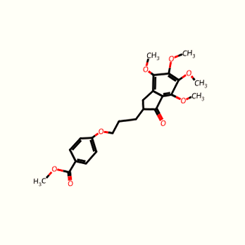 COC(=O)c1ccc(OCCCC2Cc3c(OC)c(OC)c(OC)c(OC)c3C2=O)cc1